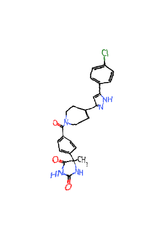 CC1(c2ccc(C(=O)N3CCC(c4cc(-c5ccc(Cl)cc5)[nH]n4)CC3)cc2)NC(=O)NC1=O